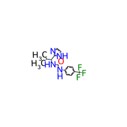 CC(C)C(NC(=O)Nc1ccc(C(F)(F)F)cc1)c1ncc[nH]1